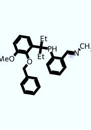 CCC(CC)(Pc1ccccc1/C=N/C)c1cccc(OC)c1OCc1ccccc1